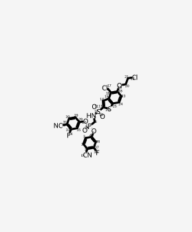 N#Cc1ccc(OP(=O)(CNS(=O)(=O)c2cc3c(Cl)c(OCCCl)ccc3s2)Oc2ccc(C#N)c(F)c2)cc1F